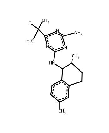 Cc1ccc2c(c1)CC[C@@H](C)C2Nc1nc(N)nc(C(C)(C)F)n1